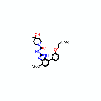 COCCOc1cccc(-c2ccc(OC)c3nc(NC(=O)N4CCC(C)(O)CC4)[nH]c23)c1